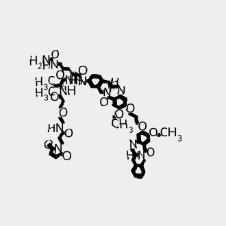 CCOc1cc2c(cc1OCCCOc1cc3c(cc1OCC)C(=O)N1Cc4cc(NC(=O)[C@H](CCCNC(N)=O)NC(=O)[C@@H](NC(=O)CCOCCNC(=O)CCN5C(=O)C=CC5=O)C(C)C)ccc4C[C@H]1C=N3)N=C[C@@H]1Cc3ccccc3CN1C2=O